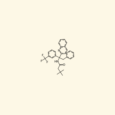 CC(C)(C)CC(=O)NC(Cc1ccccc1)(c1cccc(C(F)(F)F)c1)c1ccc2ccccc2n1